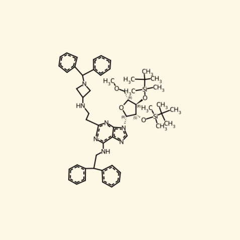 COC[C@H]1O[C@@H](n2cnc3c(NCC(c4ccccc4)c4ccccc4)nc(CCNC4CN(C(c5ccccc5)c5ccccc5)C4)nc32)[C@@H](O[Si](C)(C)C(C)(C)C)[C@@H]1O[Si](C)(C)C(C)(C)C